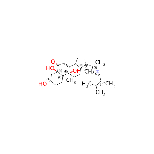 CC(C)[C@@H](C)/C=C/[C@@H](C)[C@H]1CCC2C3=CC(=O)[C@@]4(O)C[C@@H](O)CC[C@]4(C)[C@@]3(O)CC[C@@]21C